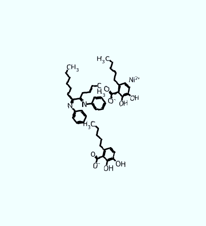 CCCCCCC(=Nc1ccccc1)C(CCCC)=Nc1ccccc1.CCCCCc1ccc(O)c(O)c1C(=O)[O-].CCCCCc1ccc(O)c(O)c1C(=O)[O-].[Ni+2]